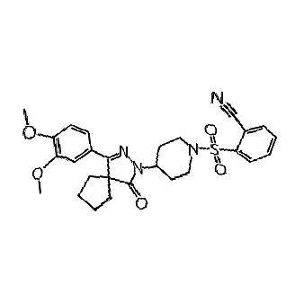 COc1ccc(C2=NN(C3CCN(S(=O)(=O)c4ccccc4C#N)CC3)C(=O)C23CCCC3)cc1OC